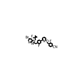 N#Cc1ccc(COc2cccc(-c3ccc(Cc4nc5ncc(Br)cc5n4CC4(CF)CC4)c(F)c3)n2)c(F)c1